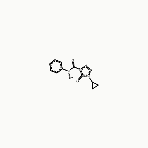 CC(C)N(C(=O)n1nnn(C2CC2)c1=O)c1ccccc1